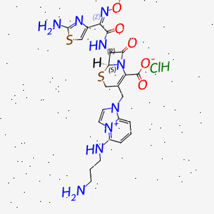 CCO/N=C(\C(=O)N[C@@H]1C(=O)N2C(C(=O)[O-])=C(Cn3cc[n+]4c(NCCCN)cccc34)CS[C@@H]12)c1csc(N)n1.Cl